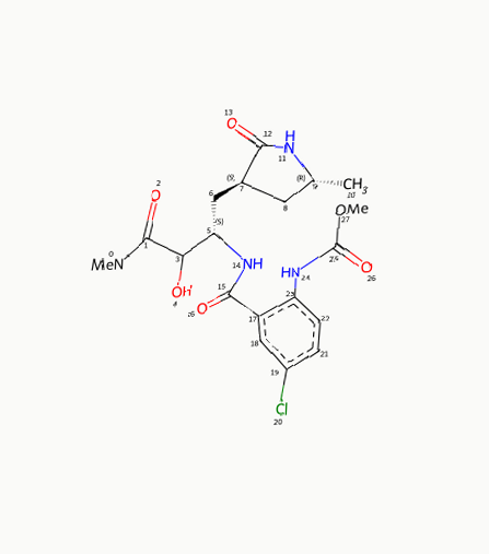 CNC(=O)C(O)[C@H](C[C@@H]1C[C@@H](C)NC1=O)NC(=O)c1cc(Cl)ccc1NC(=O)OC